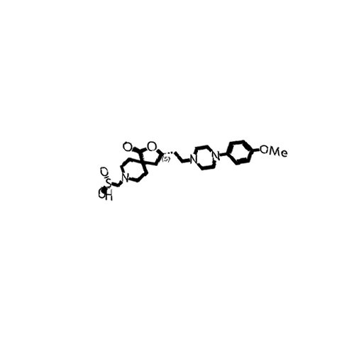 COc1ccc(N2CCN(CC[C@@H]3CC4(CCN(C[SH](=O)=O)CC4)C(=O)O3)CC2)cc1